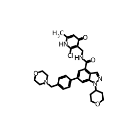 Cc1cc(=O)c(CNC(=O)c2cc(-c3ccc(CN4CCOCC4)cc3)cc3c2cnn3C2CCOCC2)c(Cl)[nH]1